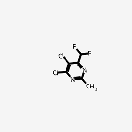 Cc1nc(Cl)c(Cl)c(C(F)F)n1